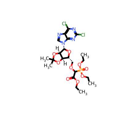 CCOC(=O)C(OC[C@H]1O[C@@H](n2cnc3c(Cl)nc(Cl)nc32)[C@@H]2OC(C)(C)O[C@@H]21)P(=O)(OCC)OCC